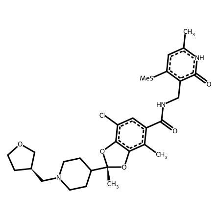 CSc1cc(C)[nH]c(=O)c1CNC(=O)c1cc(Cl)c2c(c1C)O[C@](C)(C1CCN(C[C@H]3CCOC3)CC1)O2